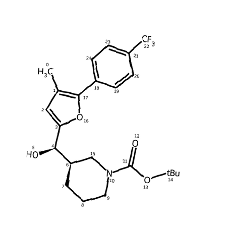 Cc1cc([C@H](O)[C@@H]2CCCN(C(=O)OC(C)(C)C)C2)oc1-c1ccc(C(F)(F)F)cc1